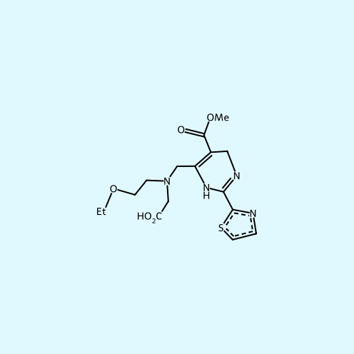 CCOCCN(CC(=O)O)CC1=C(C(=O)OC)CN=C(c2nccs2)N1